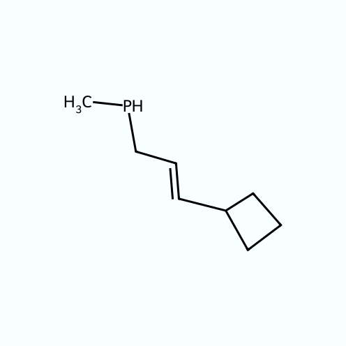 CPC/C=C/C1CCC1